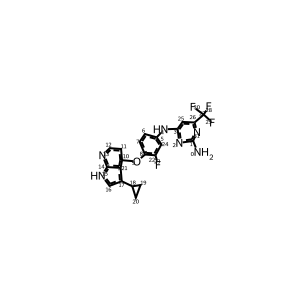 Nc1nc(Nc2ccc(Oc3ccnc4[nH]cc(C5CC5)c34)c(F)c2)cc(C(F)(F)F)n1